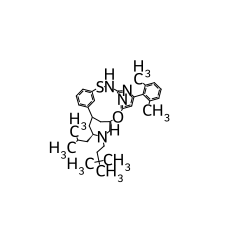 Cc1cccc(C)c1-c1cc2nc(n1)NSc1cccc(c1)C1C[C@@H](CN(CCC(C)(C)C)[C@@H](CC(C)C)C1)O2